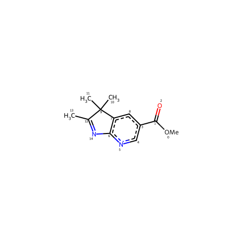 COC(=O)c1cnc2c(c1)C(C)(C)C(C)=N2